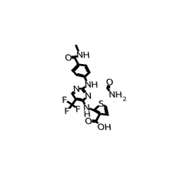 CNC(=O)c1ccc(Nc2ncc(C(F)(F)F)c(Nc3sccc3C(=O)O)n2)cc1.NC=O